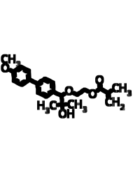 C=C(C)C(=O)OCCOC(c1ccc(-c2ccc(OC)cc2)cc1)C(C)(C)O